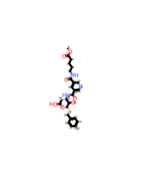 COC(=O)CCCCNC(=O)c1cncc(C(=O)N[C@@H](CC(=O)O)C(=O)CSCc2ccc(F)cc2)c1